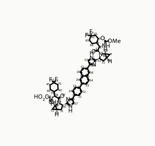 COC(=O)N[C@H](C(=O)N1[C@@H]2C[C@H]2C[C@H]1c1nc(-c2ccc3cc(-c4ccc(-c5c[nH]c([C@@H]6C[C@H]7C[C@H]7N6C(=O)[C@H](C6CCC(F)(F)CC6)N(C)C(=O)O)n5)cc4)ccc3c2)c[nH]1)C1CCC(F)(F)CC1